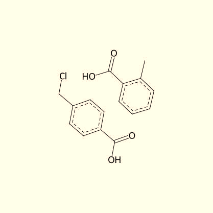 Cc1ccccc1C(=O)O.O=C(O)c1ccc(CCl)cc1